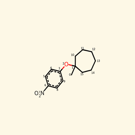 CC1(Oc2ccc([N+](=O)[O-])cc2)CCCCCC1